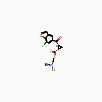 CCN(CC)CCOC(=O)[C@H]1C[C@@H]1C(=O)c1cc(Cl)c2occc2c1